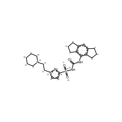 O=C(Nc1c2c(cc3c1CCC3)CCC2)NS(=O)(=O)c1ccn(CCN2CCCCC2)n1